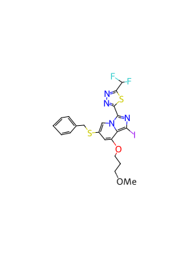 COCCCOc1cc(SCc2ccccc2)cn2c(-c3nnc(C(F)F)s3)nc(I)c12